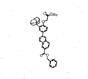 COC(=O)COc1ccc(-c2ccc3cc(C(=O)OCc4ccccc4)ccc3c2)cc1C12CC3CC(CC(C3)C1)C2